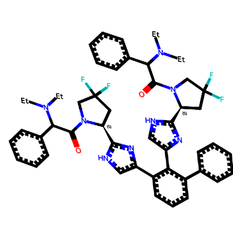 CCN(CC)C(C(=O)N1CC(F)(F)C[C@H]1c1nc(-c2cccc(-c3ccccc3)c2-c2c[nH]c([C@@H]3CC(F)(F)CN3C(=O)C(c3ccccc3)N(CC)CC)n2)c[nH]1)c1ccccc1